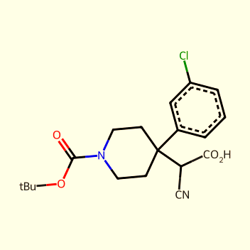 CC(C)(C)OC(=O)N1CCC(c2cccc(Cl)c2)(C(C#N)C(=O)O)CC1